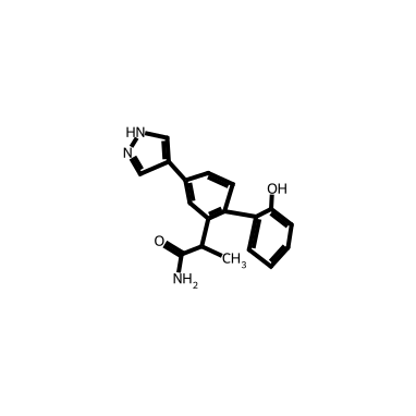 CC(C(N)=O)c1cc(-c2cn[nH]c2)ccc1-c1ccccc1O